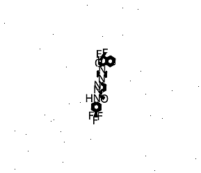 O=C(Nc1ccc(C(F)(F)F)cc1)c1ccc(N2CCN(C(=O)c3ccccc3C(F)(F)F)CC2)nn1